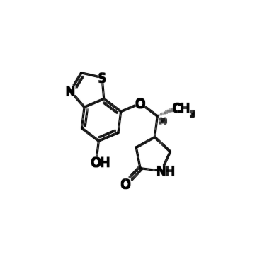 C[C@@H](Oc1cc(O)cc2ncsc12)C1CNC(=O)C1